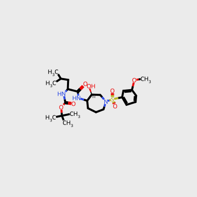 COc1cccc(S(=O)(=O)N2CCCC(NC(=O)C(CC(C)C)NC(=O)OC(C)(C)C)[C@@H](O)C2)c1